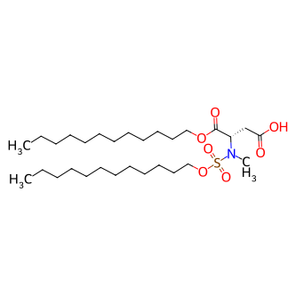 CCCCCCCCCCCCOC(=O)[C@H](CC(=O)O)N(C)S(=O)(=O)OCCCCCCCCCCCC